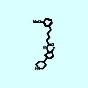 COc1cccc(CCCCC(=O)Nc2cc(C3CCNCC3)ccc2F)c1